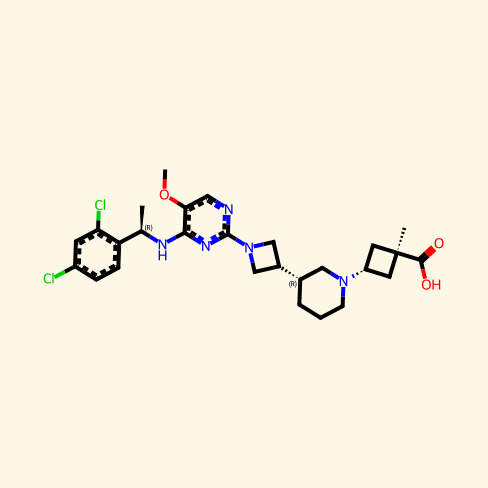 COc1cnc(N2CC([C@H]3CCCN([C@H]4C[C@](C)(C(=O)O)C4)C3)C2)nc1N[C@H](C)c1ccc(Cl)cc1Cl